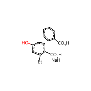 CCc1cc(O)ccc1C(=O)O.O=C(O)c1ccccc1.[NaH]